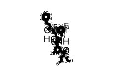 CCCN(CCC)C(=O)c1cc(C)cc(C(=O)N[C@@H](Cc2cc(F)cc(F)c2)[C@H](O)CCNC(=O)CCc2ccccc2)c1